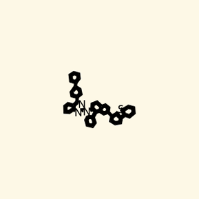 c1ccc(-c2ccc(-c3nc(-n4c5ccccc5c5c6cc(-c7cccc8c7sc7ccccc78)ccc6ccc54)nc4ccccc34)cc2)cc1